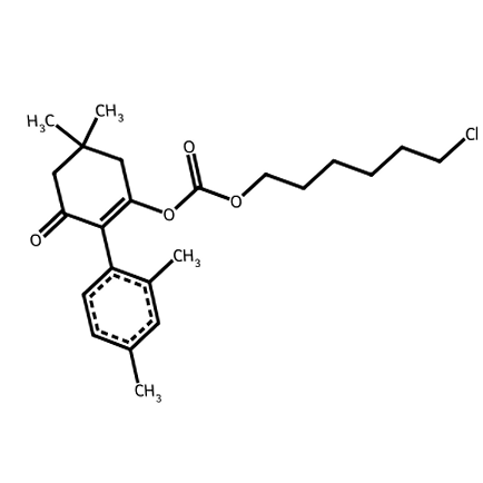 Cc1ccc(C2=C(OC(=O)OCCCCCCCl)CC(C)(C)CC2=O)c(C)c1